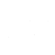 CC(C)(C)c1ccc(C(O)C(O)c2c(Cl)cncc2Cl)cc1